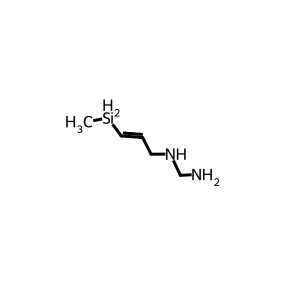 C[SiH2]C=CCNCN